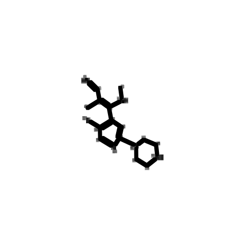 CN/C(=C(/C)C=N)c1cc(N2CCNCC2)ncc1F